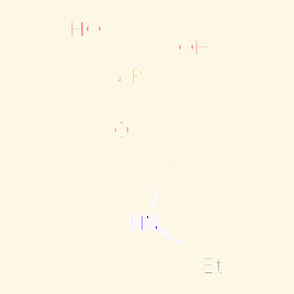 CCNCOP(O)O